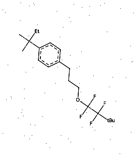 CCC(C)(C)c1ccc(CCCOC(F)(F)C(F)(F)C(C)(C)C)cc1